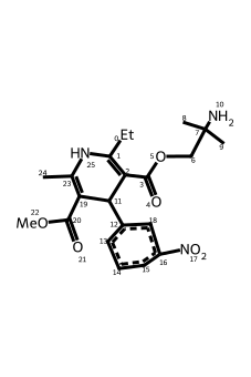 CCC1=C(C(=O)OCC(C)(C)N)C(c2cccc([N+](=O)[O-])c2)C(C(=O)OC)=C(C)N1